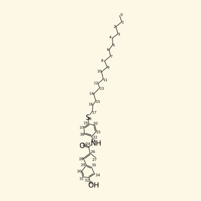 CCCCCCCCCCCCCCCCCCSc1ccc(NC(=O)/C(C)=C/c2ccc(O)cc2)cc1